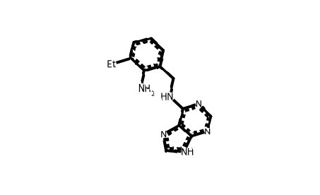 CCc1cccc(CNc2ncnc3[nH]cnc23)c1N